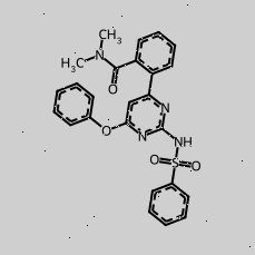 CN(C)C(=O)c1ccccc1-c1cc(Oc2ccccc2)nc(NS(=O)(=O)c2ccccc2)n1